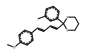 COc1ccc(/C=C/C=C/C2(c3cccc(C)c3)SCCCS2)cc1